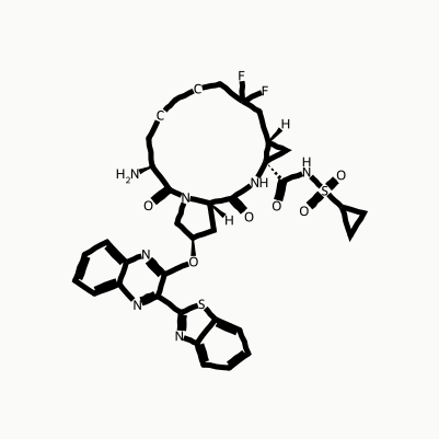 N[C@H]1CCCCCC(F)(F)C[C@@H]2C[C@@]2(C(=O)NS(=O)(=O)C2CC2)NC(=O)[C@@H]2C[C@@H](Oc3nc4ccccc4nc3-c3nc4ccccc4s3)CN2C1=O